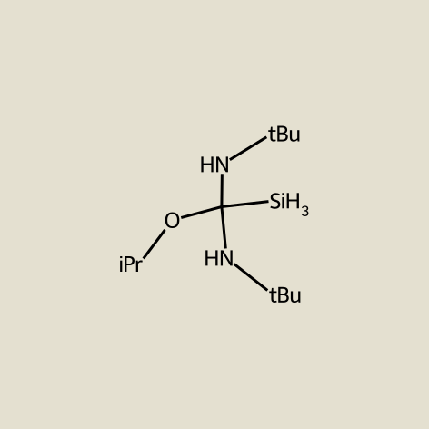 CC(C)OC([SiH3])(NC(C)(C)C)NC(C)(C)C